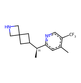 Cc1cc([C@@H](C)C2CC3(CNC3)C2)ncc1C(F)(F)F